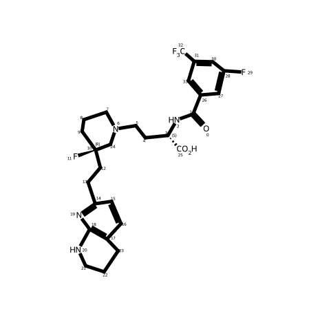 O=C(N[C@@H](CCN1CCC[C@@](F)(CCc2ccc3c(n2)NCCC3)C1)C(=O)O)c1cc(F)cc(C(F)(F)F)c1